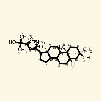 CC(C)(O)c1cc(C2CCC3C4CC[C@H]5C[C@](C)(O)CC[C@]5(C)C4CC[C@]23C)no1